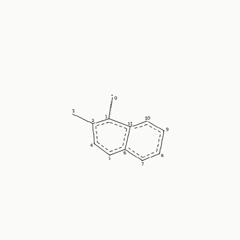 [CH2]c1c(C)ccc2ccccc12